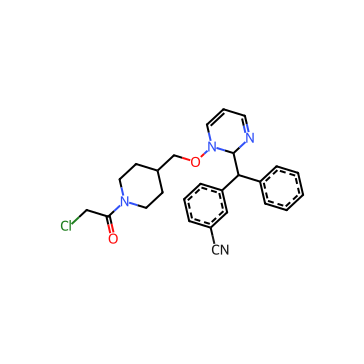 N#Cc1cccc(C(c2ccccc2)C2N=CC=CN2OCC2CCN(C(=O)CCl)CC2)c1